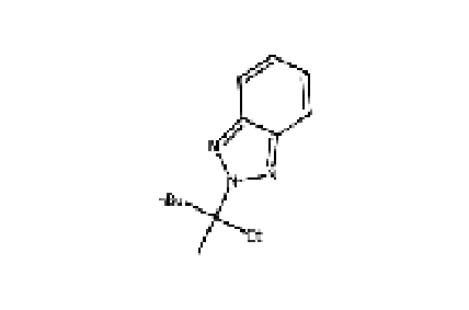 [CH2]CCCC(C)(CC)n1nc2ccccc2n1